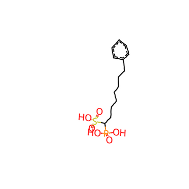 O=P(O)(O)C(CCCCCCCc1ccccc1)S(=O)(=O)O